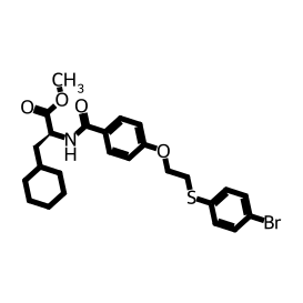 COC(=O)[C@H](CC1CCCCC1)NC(=O)c1ccc(OCCSc2ccc(Br)cc2)cc1